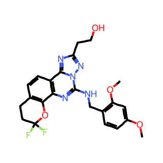 COc1ccc(CNc2nc3c4c(ccc3c3nc(CCO)nn23)CCC(F)(F)O4)c(OC)c1